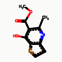 COC(=O)c1c(C)nc2ccsc2c1O